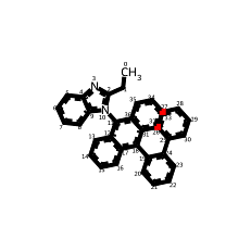 CCc1nc2ccccc2n1-c1c2ccccc2c(-c2ccccc2-c2ccccc2)c2ccccc12